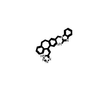 CCCc1nc2ccccc2n1Cc1ccc2c(c1)CCc1ccccc1C2=Cc1nnn[nH]1